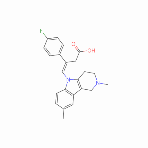 Cc1ccc2c(c1)c1c(n2C=C(CC(=O)O)c2ccc(F)cc2)CCN(C)C1